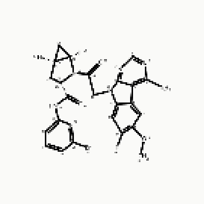 COc1cc2c3c(N)ncnc3n(CC(=O)N3[C@@H]4C[C@@H]4C[C@H]3C(=O)Nc3cccc(Br)n3)c2cc1F